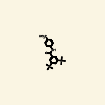 C[Si](C)(C)c1cc(C(=O)Nc2ccc(C(=O)O)cc2)cc([Si](C)(C)C)c1